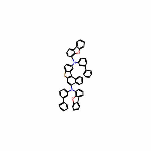 c1ccc(-c2cccc(N(c3ccc4sc5cc(N(c6cccc(-c7ccccc7)c6)c6cccc7c6oc6ccccc67)c6ccccc6c5c4c3)c3cccc4c3oc3ccccc34)c2)cc1